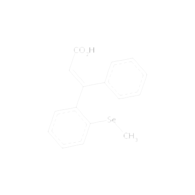 C[Se]c1ccccc1C(=CC(=O)O)c1ccccc1